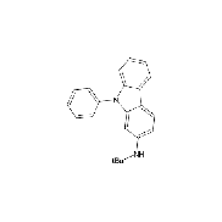 CC(C)(C)Nc1ccc2c3ccccc3n(-c3ccccc3)c2c1